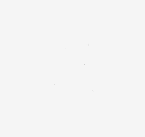 Cc1nc2ccc(Br)cn2c1C(=O)c1cccnc1